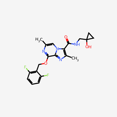 Cc1cn2c(C(=O)NCC3(O)CC3)c(C)nc2c(OCc2c(F)cccc2F)n1